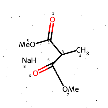 COC(=O)C(C)C(=O)OC.[NaH]